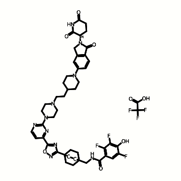 O=C(O)C(F)(F)F.O=C1CC[C@@H](N2Cc3cc(N4CCC(CCN5CCN(c6nccc(-c7nc(C89CCC(CNC(=O)c%10cc(F)c(O)c(F)c%10F)(CC8)CC9)no7)n6)CC5)CC4)ccc3C2=O)C(=O)N1